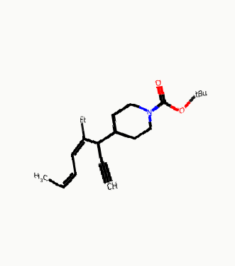 C#CC(/C(=C\C=C/C)CC)C1CCN(C(=O)OC(C)(C)C)CC1